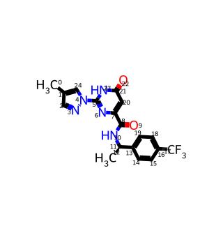 Cc1cnn(-c2nc(C(=O)N[C@H](C)c3ccc(C(F)(F)F)cc3)cc(=O)[nH]2)c1